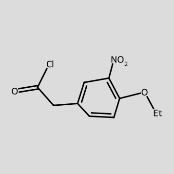 CCOc1ccc(CC(=O)Cl)cc1[N+](=O)[O-]